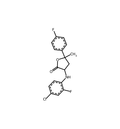 CC1(c2ccc(F)cc2)CC(Nc2ccc(Cl)cc2F)C(=O)O1